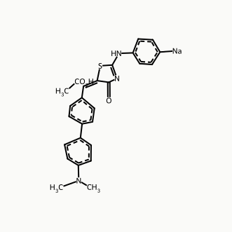 CC(=O)O.CN(C)c1ccc(-c2ccc(C=C3SC(Nc4cc[c]([Na])cc4)=NC3=O)cc2)cc1